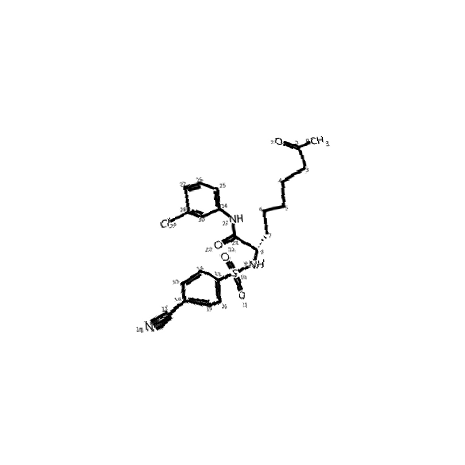 CC(=O)CCCCC[C@H](NS(=O)(=O)c1ccc(C#N)cc1)C(=O)Nc1cccc(Cl)c1